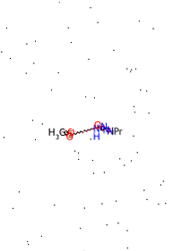 Cc1ccc(S(=O)(=O)CCCCCCCCCCCCCCNC(=O)c2ccc(N3CCN(C(C)C)CC3)nc2)cc1